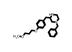 COCCCOc1ccc(CC2CN(Cc3ccccc3)CCN2)cc1